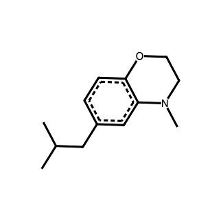 CC(C)Cc1ccc2c(c1)N(C)CCO2